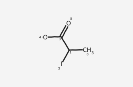 CC(I)C([O])=O